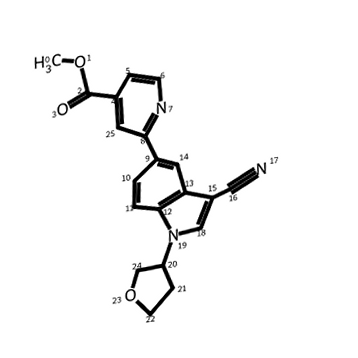 COC(=O)c1ccnc(-c2ccc3c(c2)c(C#N)cn3C2CCOC2)c1